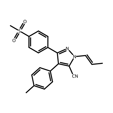 CC=Cn1nc(-c2ccc(S(C)(=O)=O)cc2)c(-c2ccc(C)cc2)c1C#N